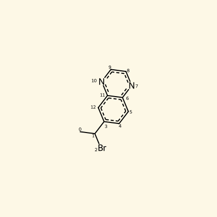 CC(Br)c1ccc2nccnc2c1